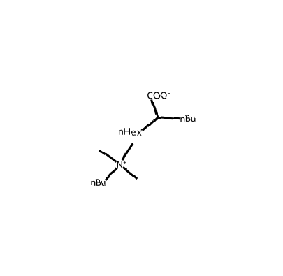 CCCCCCC(CCCC)C(=O)[O-].CCCC[N+](C)(C)C